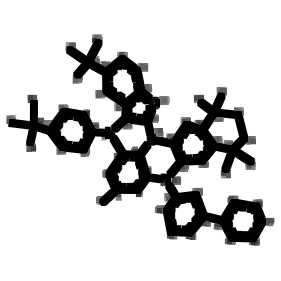 Cc1cc2c3c(c1)N(c1ccc(C(C)(C)C)cc1)c1c(oc4ccc(C(C)(C)C)cc14)B3c1cc3c(cc1N2c1cccc(-c2ccccc2)c1)C(C)(C)CCC3(C)C